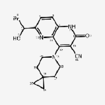 CC(C)C(O)c1ccc2[nH]c(=O)c(C#N)c(N3CCC4(CC3)CC4)c2n1